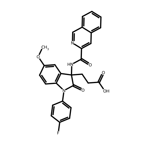 COc1ccc2c(c1)C(CCC(=O)O)(NC(=O)c1cc3ccccc3cn1)C(=O)N2c1ccc(F)cc1